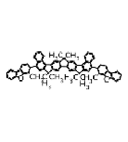 Cc1c(-c2cc3c(c4ccccc24)-c2cc4c(cc2C3(C)C)-c2cc3c(cc2C4(C)C)-c2c(cc(-c4ccc5c(oc6ccccc65)c4C)c4ccccc24)C3(C)C)ccc2c1oc1ccccc12